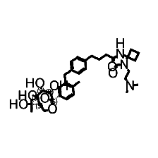 Cc1ccc([C@]23OC[C@](C(C)(C)O)(O2)[C@@H](O)[C@H](O)[C@H]3O)cc1Cc1ccc(CCCC(=O)NC2(N(C=O)CCN(C)C)CCC2)cc1